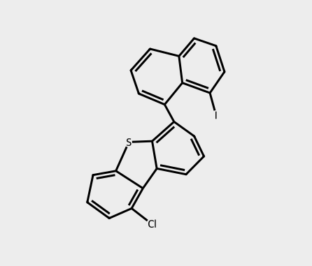 Clc1cccc2sc3c(-c4cccc5cccc(I)c45)cccc3c12